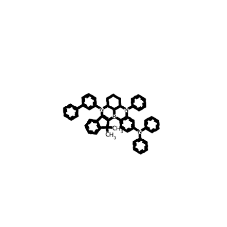 CC1(C)C2=C(c3ccccc31)N(c1cccc(-c3ccccc3)c1)C1CCCC3C1B2c1ccc(N(c2ccccc2)c2ccccc2)cc1N3c1ccccc1